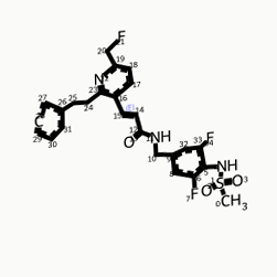 CS(=O)(=O)Nc1c(F)cc(CNC(=O)/C=C/c2ccc(CF)nc2CCc2ccccc2)cc1F